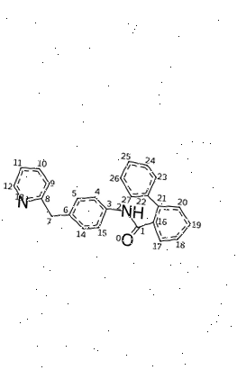 O=C(Nc1ccc(Cc2ccccn2)cc1)c1ccccc1-c1ccccc1